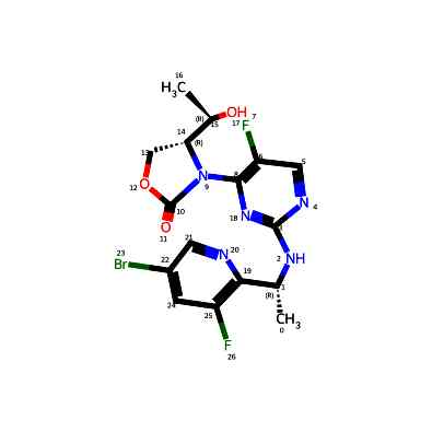 C[C@@H](Nc1ncc(F)c(N2C(=O)OC[C@@H]2[C@@H](C)O)n1)c1ncc(Br)cc1F